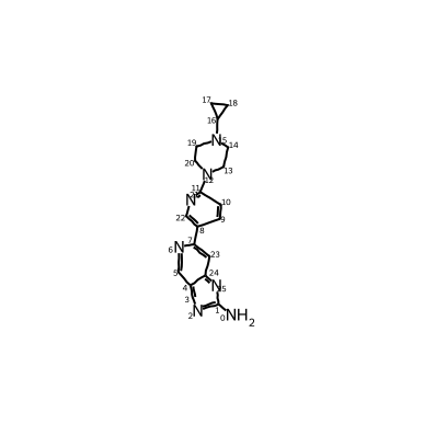 Nc1ncc2cnc(-c3ccc(N4CCN(C5CC5)CC4)nc3)cc2n1